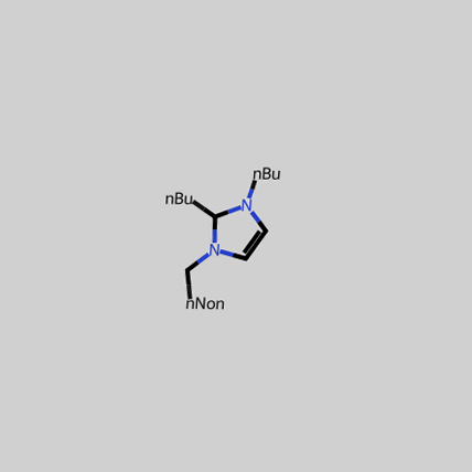 CCCCCCCCCCN1C=CN(CCCC)C1CCCC